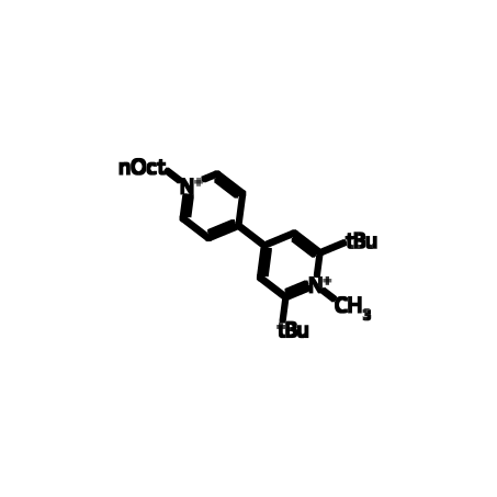 CCCCCCCC[n+]1ccc(-c2cc(C(C)(C)C)[n+](C)c(C(C)(C)C)c2)cc1